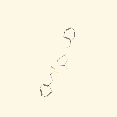 COc1ccc(CS[C@@H]2C[C@@H](C(=O)O)N(S(=O)(=O)CCc3ccccc3)C2)cc1